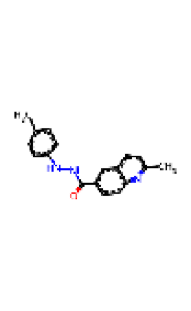 Cc1ccc(NNC(=O)c2ccc3nc(C)ccc3c2)cc1